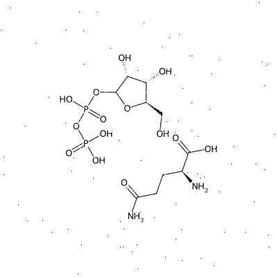 NC(=O)CC[C@H](N)C(=O)O.O=P(O)(O)OP(=O)(O)OC1O[C@H](CO)[C@@H](O)[C@H]1O